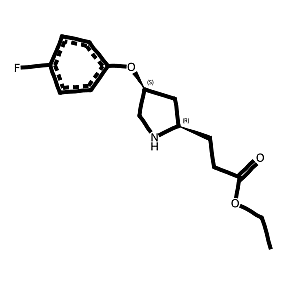 CCOC(=O)CC[C@@H]1C[C@H](Oc2ccc(F)cc2)CN1